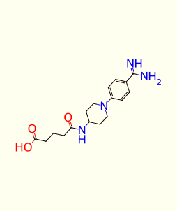 N=C(N)c1ccc(N2CCC(NC(=O)CCCC(=O)O)CC2)cc1